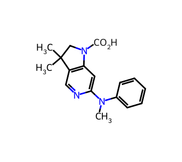 CN(c1ccccc1)c1cc2c(cn1)C(C)(C)CN2C(=O)O